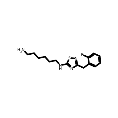 NCCCCCCNc1nc(Cc2ccccc2F)ns1